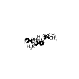 CCN(CC)C(=O)COc1cccc2c(C[C@@H](C)NCC(O)c3cccnc3)c[nH]c12